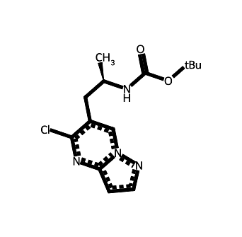 C[C@H](Cc1cn2nccc2nc1Cl)NC(=O)OC(C)(C)C